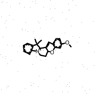 COc1ccc2c(c1)OC1CC[N+]3=C(C1=C2)C(C)(C)c1ccccc13